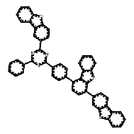 c1ccc(-c2nc(-c3ccc(-c4ccc(-c5ccc6c(c5)sc5ccccc56)c5oc6ccccc6c45)cc3)nc(-c3ccc4oc5ccccc5c4c3)n2)cc1